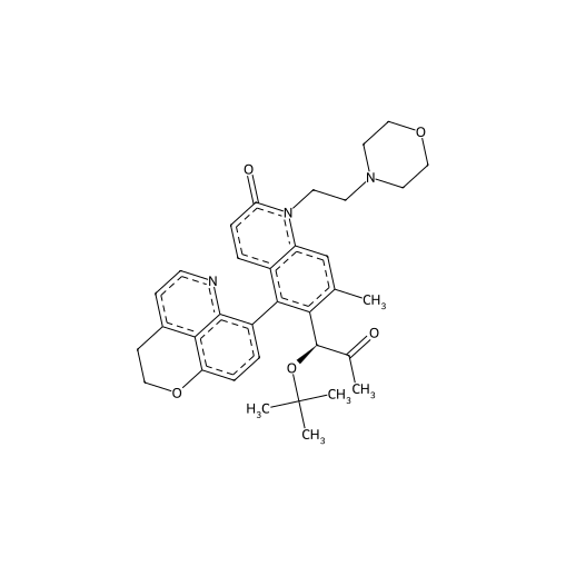 CC(=O)[C@@H](OC(C)(C)C)c1c(C)cc2c(ccc(=O)n2CCN2CCOCC2)c1-c1ccc2c3c(ccnc13)CCO2